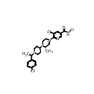 CCNC(=O)c1cnc(N2CCN(C3CCN(C(C)c4ccc(Cl)cc4)CC3)[C@@H](C)C2)c(Cl)c1